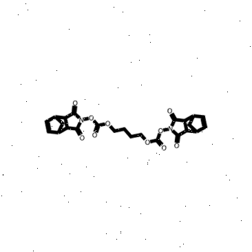 O=C(OCCCCOC(=O)ON1C(=O)C2C3C=CC(C3)C2C1=O)ON1C(=O)C2C3C=CC(C3)C2C1=O